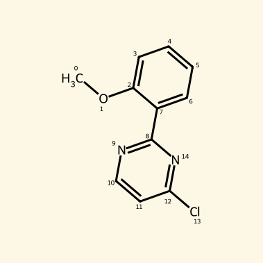 COc1ccccc1-c1nccc(Cl)n1